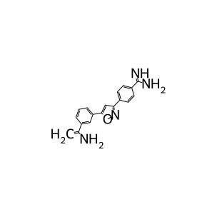 C=C(N)c1cccc(-c2cc(-c3ccc(C(=N)N)cc3)no2)c1